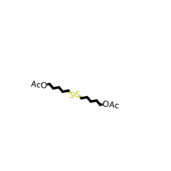 CC(=O)OCCCCCSSCCCCCOC(C)=O